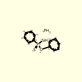 P.[SiH3]P(=S)(Oc1ccccc1)c1ccccc1